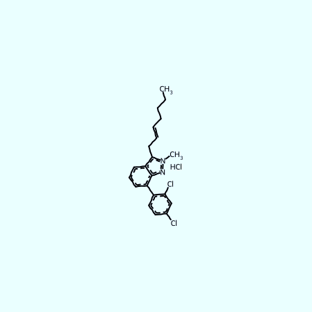 CCCCC=CCc1c2cccc(-c3ccc(Cl)cc3Cl)c2nn1C.Cl